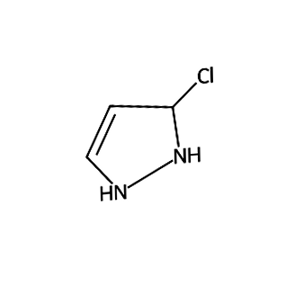 ClC1C=CNN1